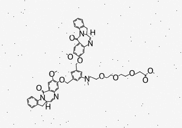 COC(=O)CCOCCOCCOCCN(C)c1cc(COc2cc3c(cc2OC)C(=O)N2c4ccccc4C[C@H]2C=N3)cc(COc2cc3c(cc2OC)C(=O)N2c4ccccc4C[C@H]2C=N3)c1